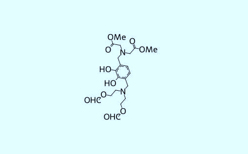 COC(=O)CN(CC(=O)OC)Cc1ccc(CN(CCOC=O)CCOC=O)c(O)c1O